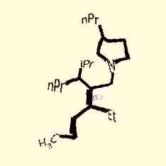 CC=C/C(CC)=C(/CN1CCC(CCC)C1)C(CCC)C(C)C